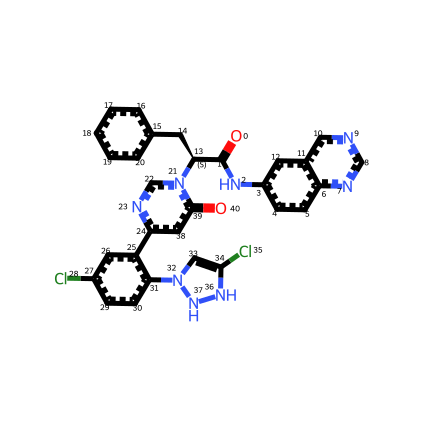 O=C(Nc1ccc2ncncc2c1)[C@H](Cc1ccccc1)n1cnc(-c2cc(Cl)ccc2N2C=C(Cl)NN2)cc1=O